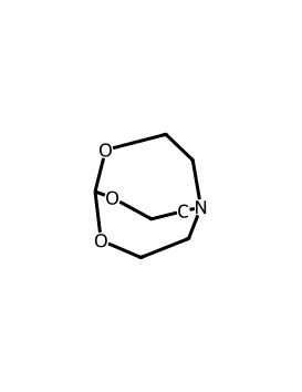 C1CN2CCOC(O1)OCC2